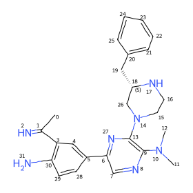 CC(=N)c1cc(-c2cnc(N(C)C)c(N3CCN[C@@H](Cc4ccccc4)C3)n2)ccc1N